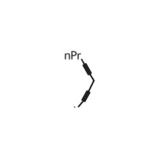 [CH2]C#CCC#CCC[CH2]